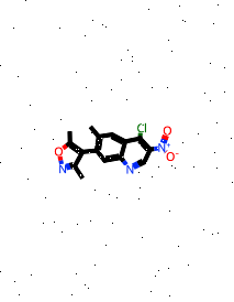 Cc1cc2c(Cl)c([N+](=O)[O-])cnc2cc1-c1c(C)noc1C